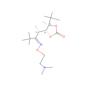 C[C@@H](C(=NOCCN(C)C)C(C)(C)C)[C@H]1OC(=O)O[C@]1(C)C(C)(C)C